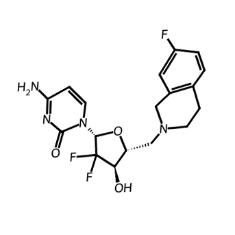 Nc1ccn([C@@H]2O[C@H](CN3CCc4ccc(F)cc4C3)[C@@H](O)C2(F)F)c(=O)n1